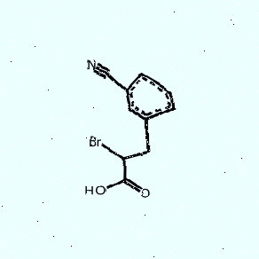 N#Cc1cccc(CC(Br)C(=O)O)c1